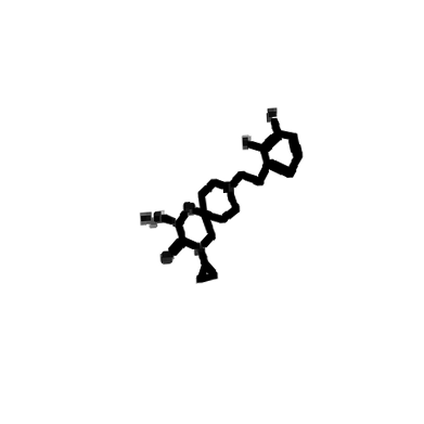 C[C@H]1OC2(CCN(CCc3cccc(F)c3F)CC2)CN(C2CC2)C1=O